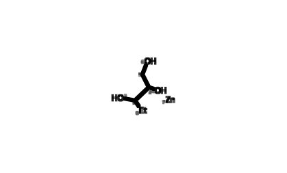 CCC(O)C(O)CO.[Zn]